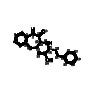 O=C1Nc2ccccc2SC[C@@H]1N[C@H](CCc1ccccc1)C(=O)O